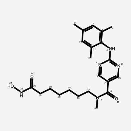 Cc1cc(C)c(Nc2ncc(C(=O)N(C)CCCCCCC(=O)NO)cn2)c(C)c1